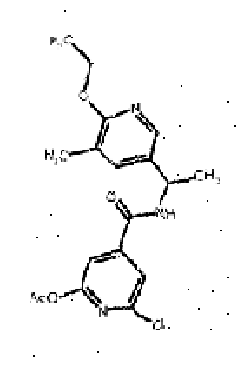 CC(=O)Oc1cc(C(=O)NC(C)c2cnc(OCC(F)(F)F)c(C)c2)cc(Cl)n1